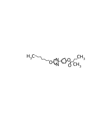 CCCCCCCCOc1cnc(-c2ccc(OC(=O)C(C)CCC)cc2)nc1